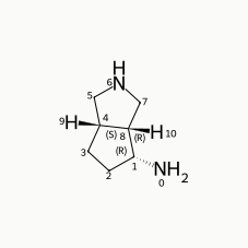 N[C@@H]1CC[C@@H]2CNC[C@@H]21